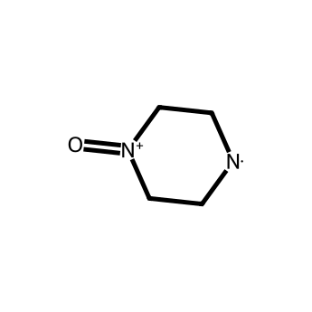 O=[N+]1CC[N]CC1